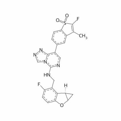 CC1=C(F)S(=O)(=O)c2ccc(-c3cnc(NCc4c(F)ccc5c4[C@H]4CC4O5)n4cnnc34)cc21